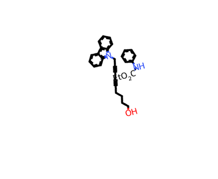 CCOC(=O)Nc1ccccc1.OCCCCC#CC#CCn1c2ccccc2c2ccccc21